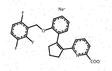 O=C([O-])c1cccc(C2=C(c3ccccc3OCc3c(F)ccc(F)c3F)CCC2)n1.[Na+]